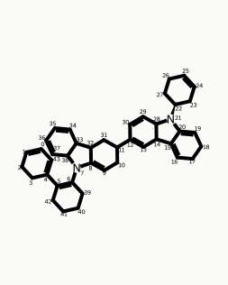 C1=CCCC(C2=C(N3C4=CCC(C5=CC6C7=CCCC=C7N([C@@H]7CC=CCC7)C6C=C5)CC4C4C=CC=CC43)CCCC2)=C1